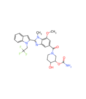 COc1cc(C(=O)N2CCC(O)C(OC(N)=O)C2)cc2nc(-c3cc4ccccc4n3CC(F)(F)F)n(C)c12